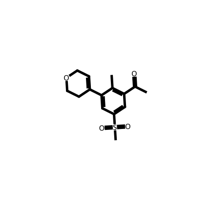 CC(=O)c1cc(S(C)(=O)=O)cc(C2=CCOCC2)c1C